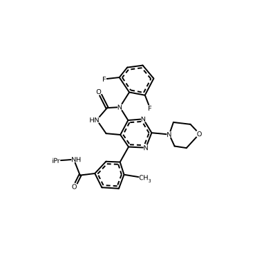 Cc1ccc(C(=O)NC(C)C)cc1-c1nc(N2CCOCC2)nc2c1CNC(=O)N2c1c(F)cccc1F